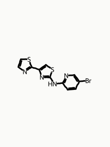 Brc1ccc(Nc2nc(-c3nccs3)cs2)nc1